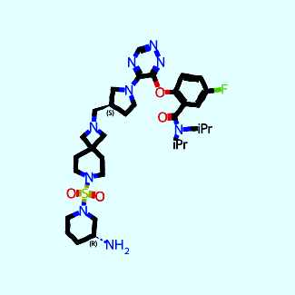 CC(C)N(C(=O)c1cc(F)ccc1Oc1nncnc1N1CC[C@@H](CN2CC3(CCN(S(=O)(=O)N4CCC[C@@H](N)C4)CC3)C2)C1)C(C)C